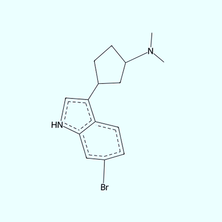 CN(C)C1CCC(c2c[nH]c3cc(Br)ccc23)C1